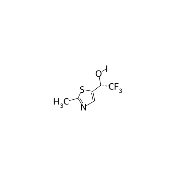 Cc1ncc([C@H](OI)C(F)(F)F)s1